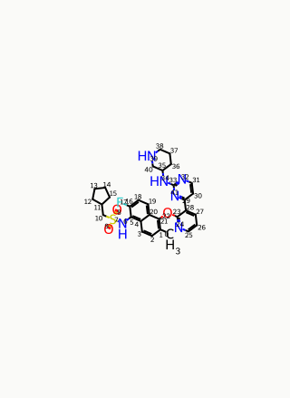 Cc1ccc2c(NS(=O)(=O)CC3CCCC3)c(F)ccc2c1Oc1ncccc1-c1ccnc(NC2CCCNC2)n1